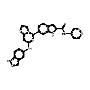 O=C(Nc1ccnnc1)c1cc2ccc(-c3nc(Nc4ccc5[nH]ncc5c4)cc4nccn34)cc2[nH]1